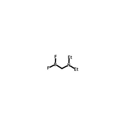 CCN(CC)CB(F)F